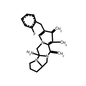 C=C1C(Cc2ccccc2F)=CN2CC3(N)N(CC4CCCN43)C(=C)C2=C1C